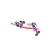 CC(C)(C)Oc1ccc(CC(NC(=O)OCC2c3ccccc3-c3ccccc32)C(=O)NCCCOCCOCCOCCCNC(=O)C(Cc2ccc(OC(C)(C)C)cc2)NC(=O)OCC2c3ccccc3-c3ccccc32)cc1